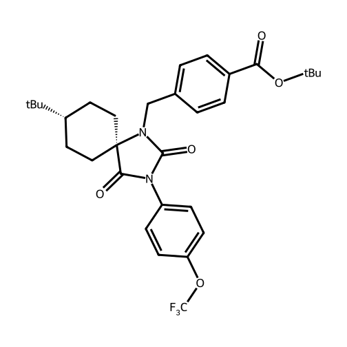 CC(C)(C)OC(=O)c1ccc(CN2C(=O)N(c3ccc(OC(F)(F)F)cc3)C(=O)[C@]23CC[C@@H](C(C)(C)C)CC3)cc1